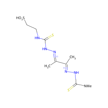 CNC(=S)N/N=C(C)/C(C)=N/NC(=S)NCCS(=O)(=O)O